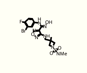 CNS(=O)(=O)N1CC(C)(CNc2nonc2/C(=N/O)Nc2ccc(F)c(Br)c2)C1